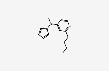 CCCCc1cc(N(C)n2cccc2)ccn1